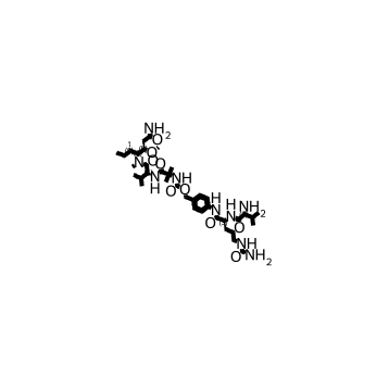 CC[C@H](C)[C@@H]([C@@H](CC(N)=O)OC)N(C)C(=O)[C@@H](NC(=O)C(C)(C)NC(=O)OCc1ccc(NC(=O)[C@H](CCCNC(N)=O)NC(=O)[C@@H](N)C(C)C)cc1)C(C)C